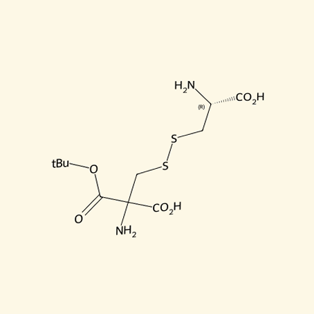 CC(C)(C)OC(=O)C(N)(CSSC[C@H](N)C(=O)O)C(=O)O